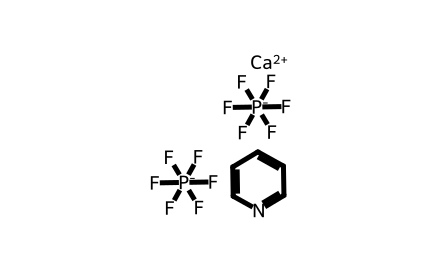 F[P-](F)(F)(F)(F)F.F[P-](F)(F)(F)(F)F.[Ca+2].c1ccncc1